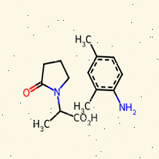 CC(C(=O)O)N1CCCC1=O.Cc1ccc(N)c(C)c1